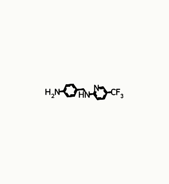 Nc1ccc(CNc2ccc(C(F)(F)F)cn2)cc1